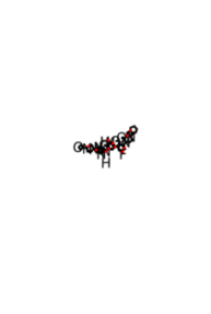 Cn1cc(-c2cc(F)cc(N3CCn4c(cc5c4CCCC5)C3=O)c2CO)cc(Nc2cnc(N3CCN(C4COC4)CC3)cn2)c1=O